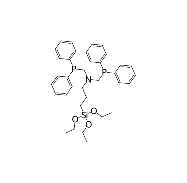 CCO[Si](CCCN(CP(c1ccccc1)c1ccccc1)CP(c1ccccc1)c1ccccc1)(OCC)OCC